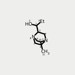 CCC(O)C1CN2CCN1CC2C